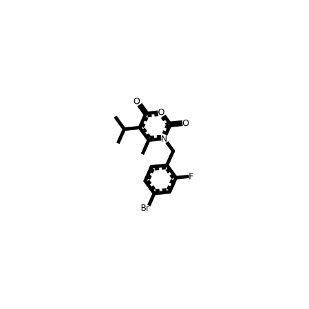 Cc1c(C(C)C)c(=O)oc(=O)n1Cc1ccc(Br)cc1F